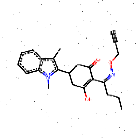 C#CCO/N=C(/CCC)C1=C(O)CC(c2c(C)c3ccccc3n2C)CC1=O